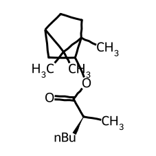 CCCC[C@H](C)C(=O)OC1CC2CCC1(C)C2(C)C